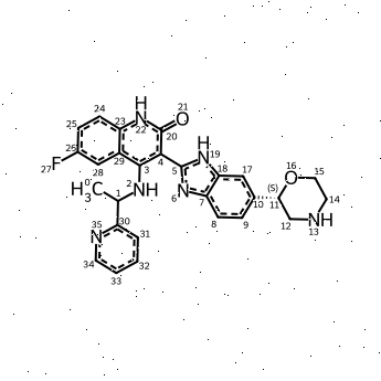 CC(Nc1c(-c2nc3ccc([C@H]4CNCCO4)cc3[nH]2)c(=O)[nH]c2ccc(F)cc12)c1ccccn1